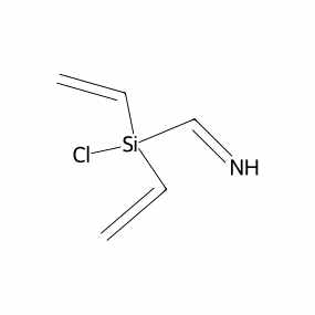 C=C[Si](Cl)(C=C)C=N